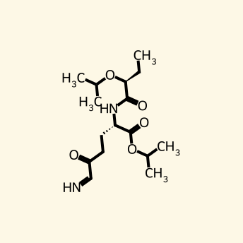 CC[C@H](OC(C)C)C(=O)N[C@@H](CCC(=O)C=N)C(=O)OC(C)C